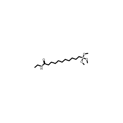 CCNC(=O)CCCCCCCCCC[Si](OC)(OC)OC